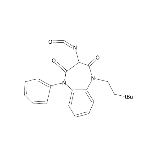 CC(C)(C)CCN1C(=O)C(N=C=O)C(=O)N(c2ccccc2)c2ccccc21